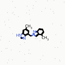 Cc1cc(Cn2cc3c(C)cccc3n2)c2nc[nH]c2c1